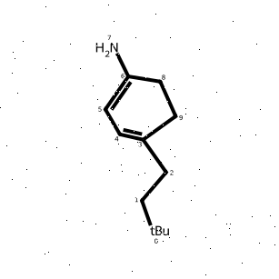 CC(C)(C)CCC1=CC=C(N)CC1